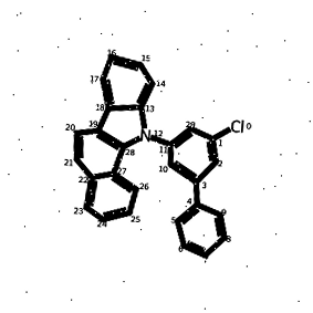 Clc1cc(-c2ccccc2)cc(-n2c3ccccc3c3ccc4ccccc4c32)c1